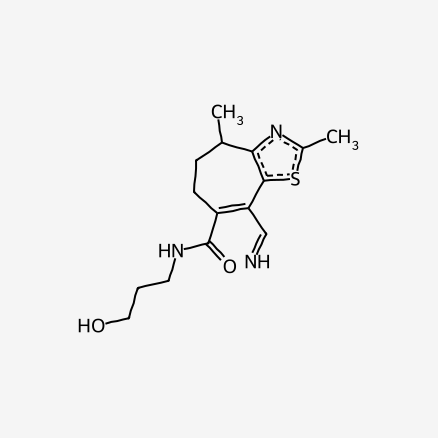 Cc1nc2c(s1)C(C=N)=C(C(=O)NCCCO)CCC2C